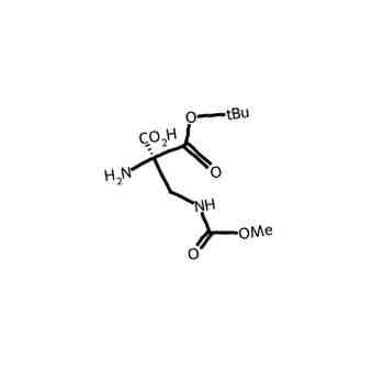 COC(=O)NC[C@](N)(C(=O)O)C(=O)OC(C)(C)C